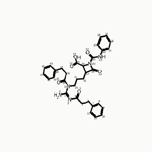 NC(=NC(=O)CCc1ccccc1)N(CCCC1C(=O)N(C(=O)Nc2ccccc2)C1C(=O)O)C(=O)CCc1ccccc1